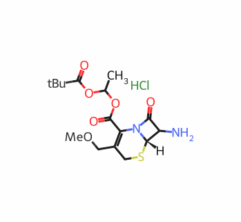 COCC1=C(C(=O)OC(C)OC(=O)C(C)(C)C)N2C(=O)C(N)[C@@H]2SC1.Cl